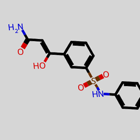 NC(=O)C=C(O)c1cccc(S(=O)(=O)Nc2ccccc2)c1